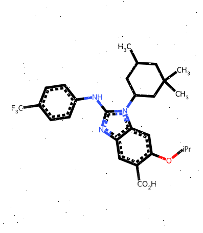 CC1CC(n2c(Nc3ccc(C(F)(F)F)cc3)nc3cc(C(=O)O)c(OC(C)C)cc32)CC(C)(C)C1